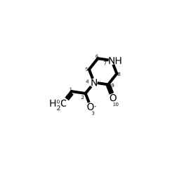 C=CC([O])N1CCNCC1=O